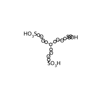 O=S(=O)(O)c1ccc(OCCOc2ccc(-c3cc(-c4ccc(OCCOc5ccc(SOOO)cc5)cc4)cc(-c4ccc(OCCOc5ccc(S(=O)(=O)O)cc5)cc4)c3)cc2)cc1